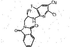 CC(C)[C@H](CN1C(=O)c2ccccc2C1=O)Nc1nc(Cl)c(C#N)cc1F